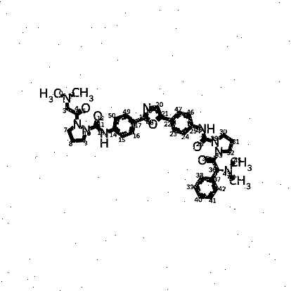 CN(C)CC(=O)N1CCCN1C(=O)Nc1ccc(-c2ncc(-c3ccc(NC(=O)N4CCCN4C(=O)[C@@H](c4ccccc4)N(C)C)cc3)o2)cc1